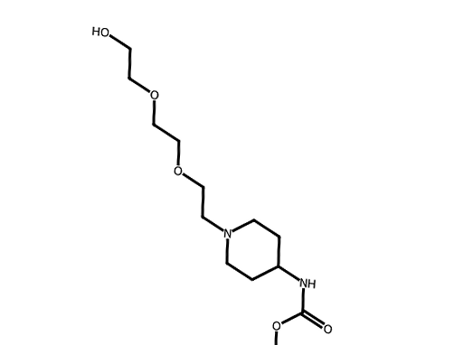 CC(C)(C)OC(=O)NC1CCN(CCOCCOCCO)CC1